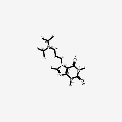 Cc1nc2c(c(=O)n(C)c(=O)n2C)n1CCCN(C(C)C)C(C)C